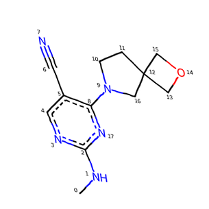 CNc1ncc(C#N)c(N2CCC3(COC3)C2)n1